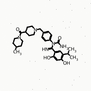 CC1CCN(C(=O)C2CCN(Cc3ccc(N(C(=N)c4cc(C(C)C)c(O)cc4O)C(N)=O)cc3)CC2)CC1